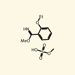 CCOc1ccccc1C(=N)OC.COS(=O)(=O)O